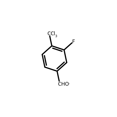 O=[C]c1ccc(C(Cl)(Cl)Cl)c(F)c1